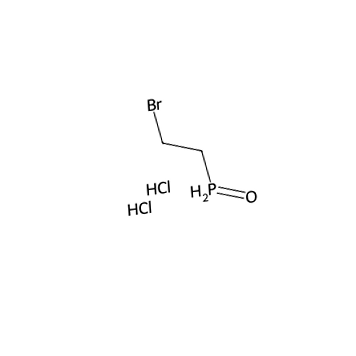 Cl.Cl.O=[PH2]CCBr